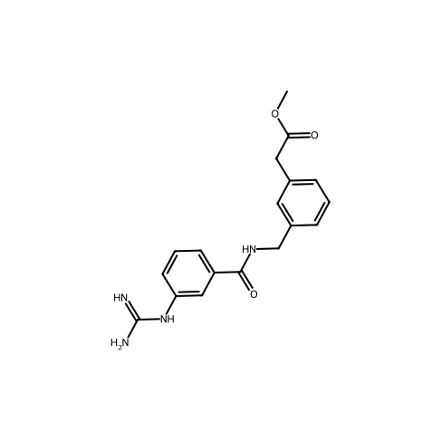 COC(=O)Cc1cccc(CNC(=O)c2cccc(NC(=N)N)c2)c1